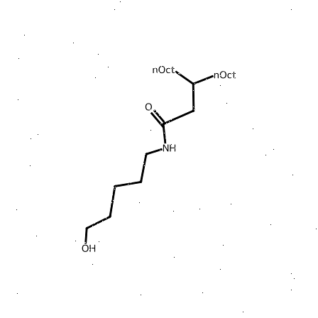 CCCCCCCCC(CCCCCCCC)CC(=O)NCCCCCO